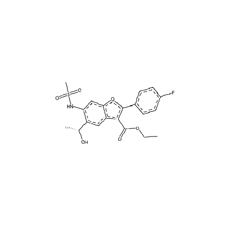 CCOC(=O)c1c(-c2ccc(F)cc2)oc2cc(NS(C)(=O)=O)c([C@@H](C)O)cc12